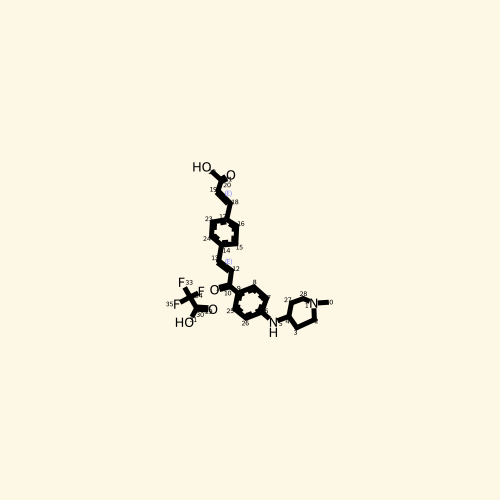 CN1CCC(Nc2ccc(C(=O)/C=C/c3ccc(/C=C/C(=O)O)cc3)cc2)CC1.O=C(O)C(F)(F)F